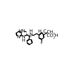 CC(C)(C(=O)O)c1cc(F)cc(CCN[C@H](c2ccccc2)[C@H]2CNc3cccnc3N2)c1